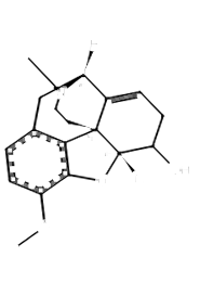 COc1ccc2c3c1O[C@H]1C(O)CC=C4[C@@H](C2)N(C)CC[C@]431